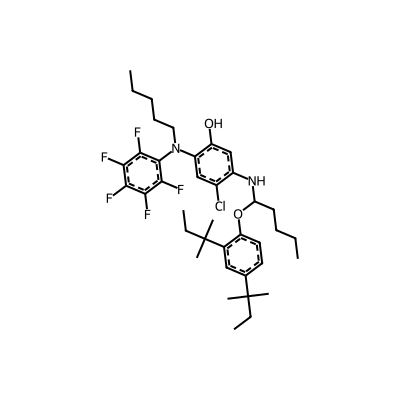 CCCCCN(c1cc(Cl)c(NC(CCCC)Oc2ccc(C(C)(C)CC)cc2C(C)(C)CC)cc1O)c1c(F)c(F)c(F)c(F)c1F